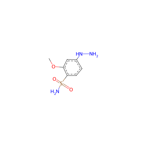 COc1cc(NN)ccc1S(N)(=O)=O